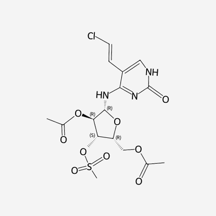 CC(=O)OC[C@H]1O[C@@H](Nc2nc(=O)[nH]cc2C=CCl)[C@H](OC(C)=O)[C@H]1OS(C)(=O)=O